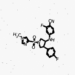 Cn1cnc(S(=O)(=O)N2CC(Nc3ccc(C#N)c(F)c3)C(c3ccc(F)cc3)C2)c1